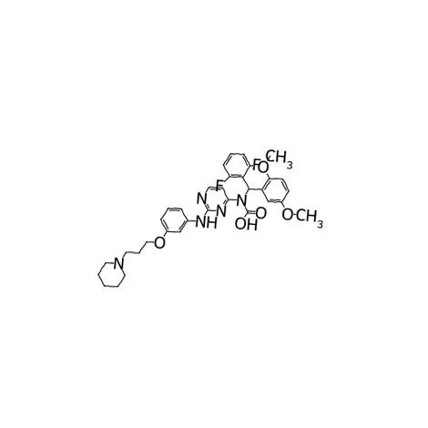 COc1ccc(OC)c(C(c2c(F)cccc2F)N(C(=O)O)c2ccnc(Nc3cccc(OCCCN4CCCCC4)c3)n2)c1